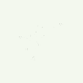 COC(=O)CC[C@@H](C)[C@H]1CC[C@H]2[C@@H]3[C@H](OC)C[C@@H]4C[C@H](OC(C)=O)CC[C@]4(C)[C@H]3C[C@H](O)[C@]12C